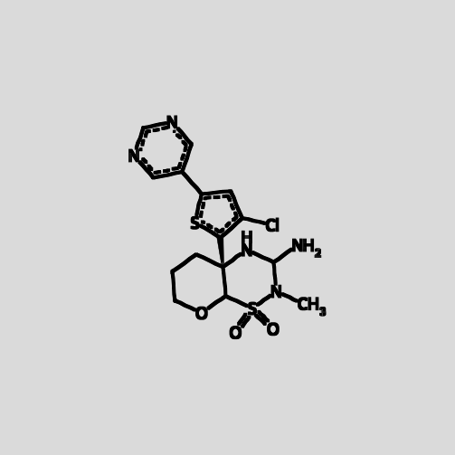 CN1C(N)N[C@@]2(c3sc(-c4cncnc4)cc3Cl)CCCOC2S1(=O)=O